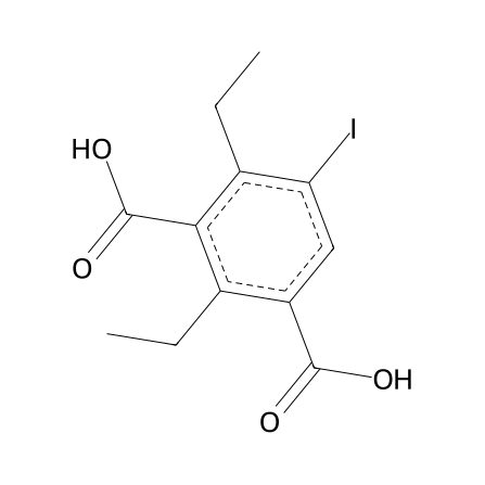 CCc1c(I)cc(C(=O)O)c(CC)c1C(=O)O